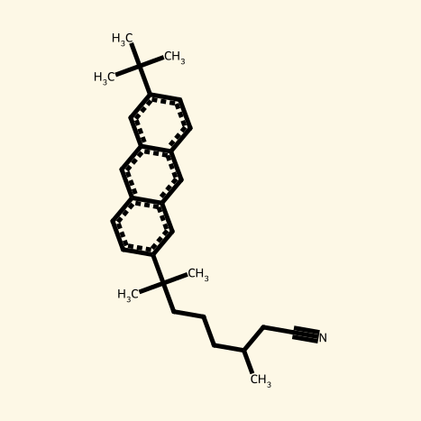 CC(CC#N)CCCC(C)(C)c1ccc2cc3cc(C(C)(C)C)ccc3cc2c1